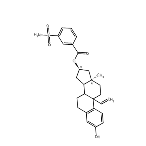 C=CC12CC[C@]3(C)C[C@H](OC(=O)c4cccc(S(N)(=O)=O)c4)CC3C1CCc1cc(O)ccc12